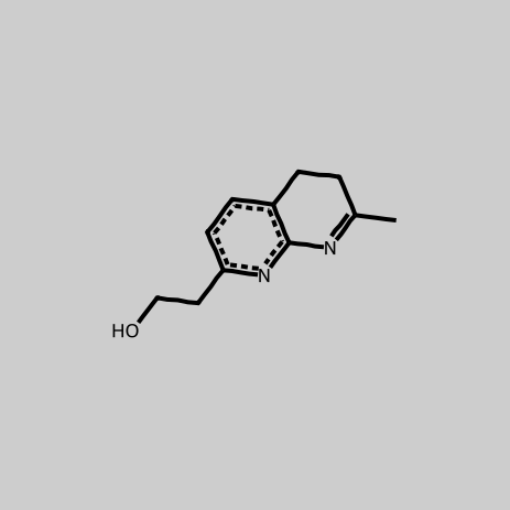 CC1=Nc2nc(CCO)ccc2CC1